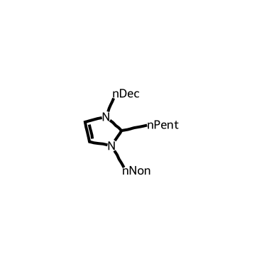 CCCCCCCCCCN1C=CN(CCCCCCCCC)C1CCCCC